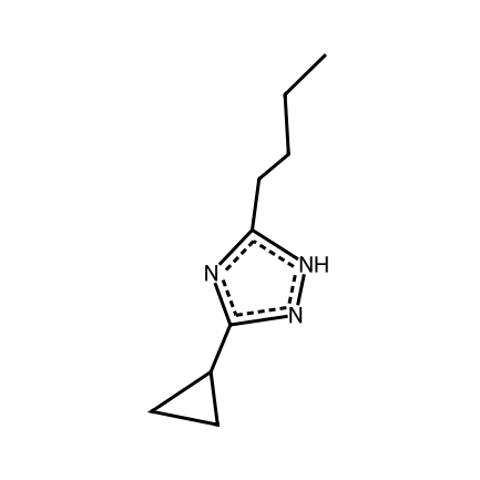 CCCCc1nc(C2CC2)n[nH]1